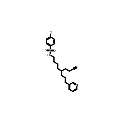 N#CCCC(CCCCNS(=O)(=O)c1ccc(Cl)cc1)CCCc1cccnc1